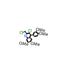 COc1ccc(-c2c(Cl)c(CCl)nc3cc(OC)c(OC)cc23)cc1OC